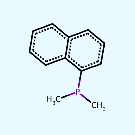 CP(C)c1cccc2ccccc12